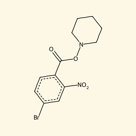 O=C(ON1CCCCC1)c1ccc(Br)cc1[N+](=O)[O-]